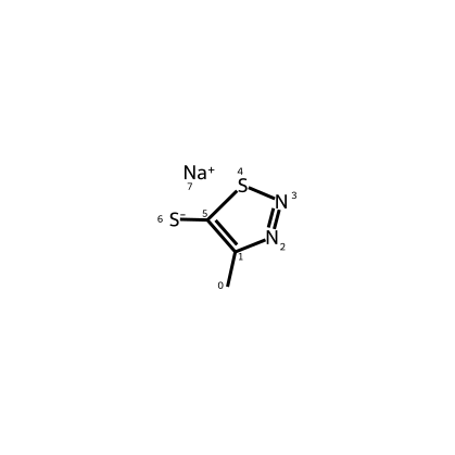 Cc1nnsc1[S-].[Na+]